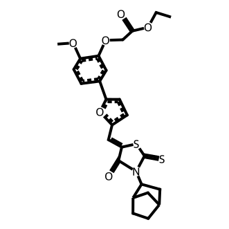 CCOC(=O)COc1cc(-c2ccc(C=C3SC(=S)N(C4CC5CCC4C5)C3=O)o2)ccc1OC